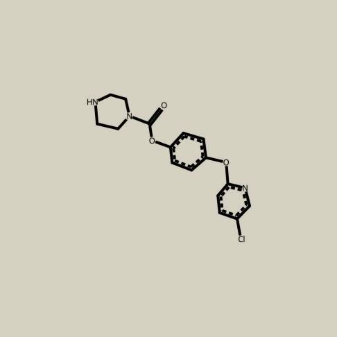 O=C(Oc1ccc(Oc2ccc(Cl)cn2)cc1)N1CCNCC1